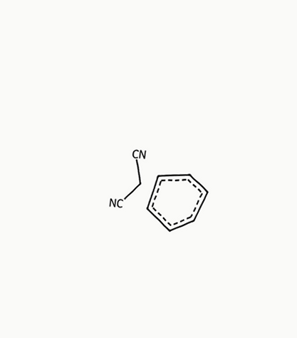 N#CCC#N.c1ccccc1